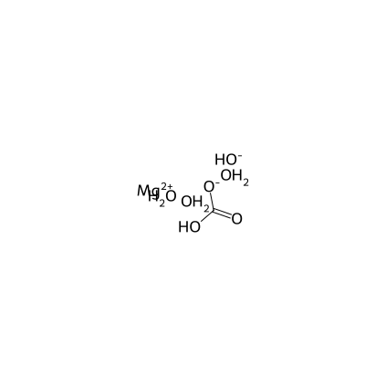 O.O.O.O=C([O-])O.[Mg+2].[OH-]